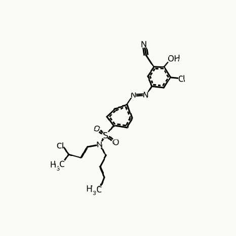 CCCCN(CCC(C)Cl)S(=O)(=O)c1ccc(N=Nc2cc(Cl)c(O)c(C#N)c2)cc1